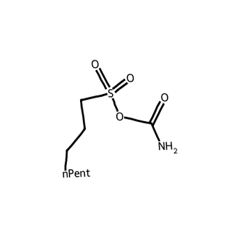 CCCCCCCCS(=O)(=O)OC(N)=O